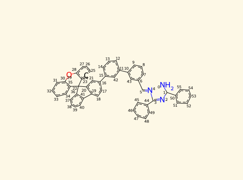 NC(/N=C(\N=C\c1cccc(-c2cccc(-c3ccc4c(c3)C3(c5ccccc5Oc5ccccc53)c3ccccc3-4)c2)c1)c1ccccc1)c1ccccc1